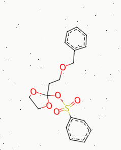 O=S(=O)(OC1(CCOCc2ccccc2)OCCO1)c1ccccc1